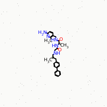 Cc1nc(N)ccc1CNC(=O)[C@H](C)NC(=O)CNC[C@H](C)Cc1ccc(-c2ccccc2)cc1